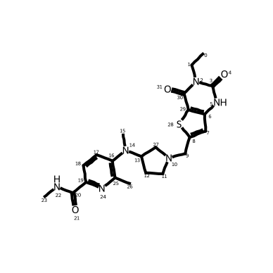 CCn1c(=O)[nH]c2cc(CN3CCC(N(C)c4ccc(C(=O)NC)nc4C)C3)sc2c1=O